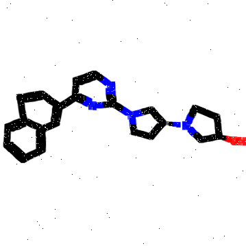 O[C@@H]1CCN([C@@H]2CCN(c3nccc(-c4ccc5ccccc5c4)n3)C2)C1